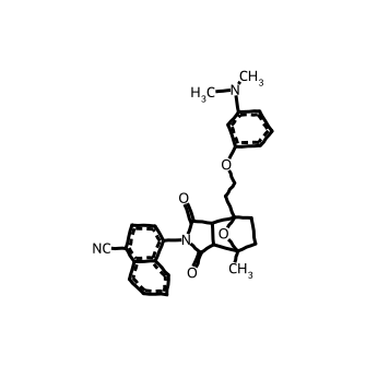 CN(C)c1cccc(OCCC23CCC(C)(O2)C2C(=O)N(c4ccc(C#N)c5ccccc45)C(=O)C23)c1